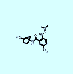 CN(C)SNc1ccc(C(F)(F)F)cc1C(=O)NC12CCC(C#N)=C1C2